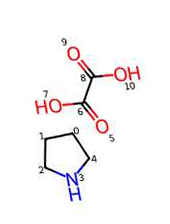 C1CCNC1.O=C(O)C(=O)O